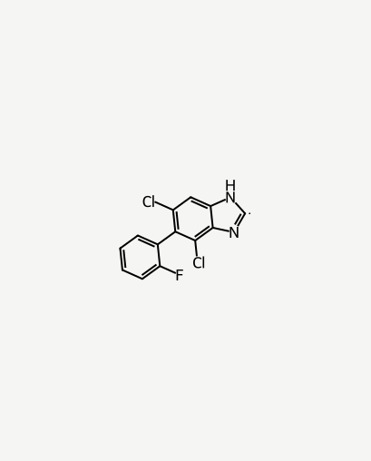 Fc1ccccc1-c1c(Cl)cc2[nH][c]nc2c1Cl